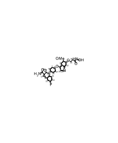 COc1cc2c(Oc3ccc(N(C(=O)C4(C(N)=O)CC4)c4ccc(F)cc4)cc3)ccnc2cc1OCCC(=O)NO